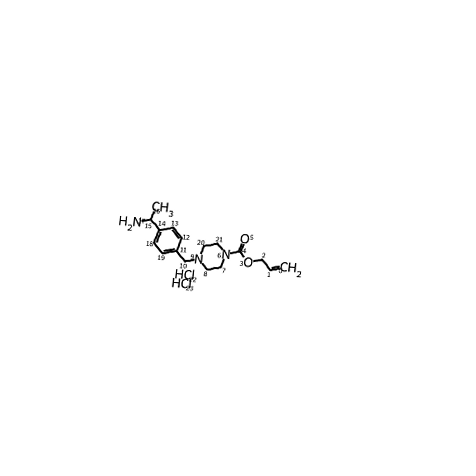 C=CCOC(=O)N1CCN(Cc2ccc(C(C)N)cc2)CC1.Cl.Cl